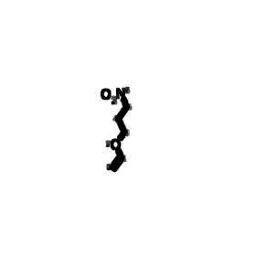 C=COCCC[N+](=O)[O-]